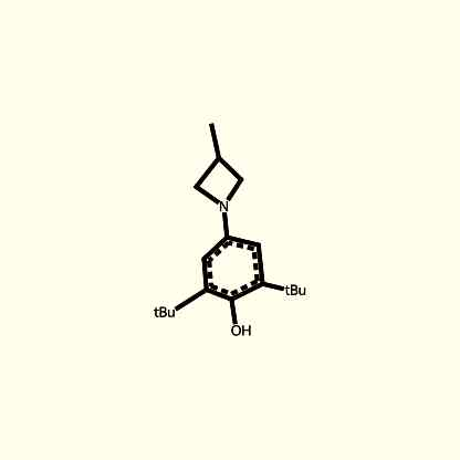 CC1CN(c2cc(C(C)(C)C)c(O)c(C(C)(C)C)c2)C1